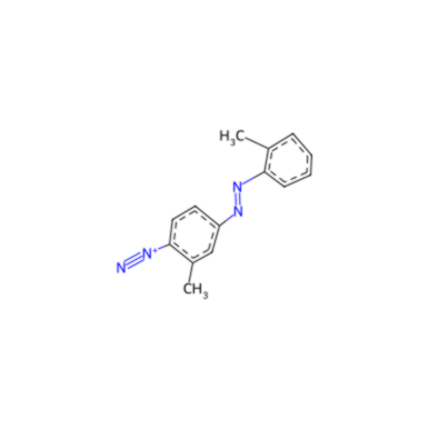 Cc1ccccc1/N=N/c1ccc([N+]#N)c(C)c1